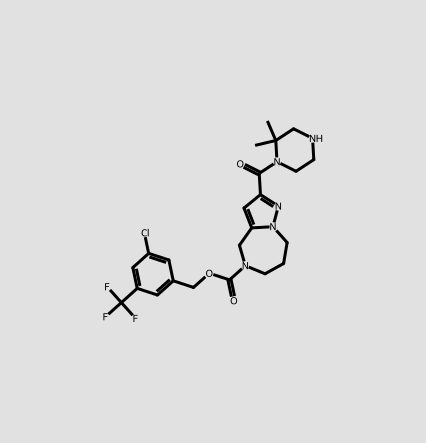 CC1(C)CNCCN1C(=O)c1cc2n(n1)CCCN(C(=O)OCc1cc(Cl)cc(C(F)(F)F)c1)C2